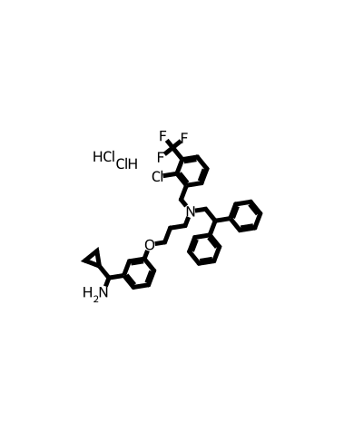 Cl.Cl.NC(c1cccc(OCCCN(Cc2cccc(C(F)(F)F)c2Cl)CC(c2ccccc2)c2ccccc2)c1)C1CC1